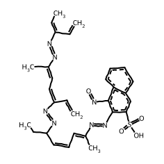 C=CC(=C\C)/N=N/C(C)=C/C=C(C=C)/N=N/C(/C=C\C=C(/C)N=Nc1c(S(=O)(=O)O)cc2ccccc2c1N=O)CC